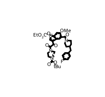 CCOC(=O)On1cc(C(=O)C(=O)N2CCN(C(=O)OC(C)(C)C)CC2)c2cc(C(=O)N3CCC(Cc4ccc(F)cc4)CC3)c(OC)cc21